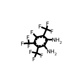 Nc1c(N)c(C(F)(F)F)c(C(F)(F)F)c(F)c1C(F)(F)F